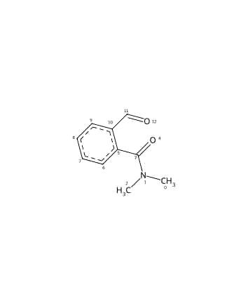 CN(C)C(=O)c1ccccc1C=O